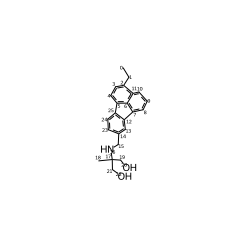 CCc1ccc2c3c(cccc13)-c1cc(CNC(C)(CO)CO)ccc1-2